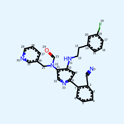 N#Cc1ccccc1-c1cc(NCCc2cccc(F)c2)c(N(C=O)Cc2cccnc2)cn1